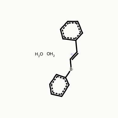 O.O.[B](/C=C/c1ccccc1)c1ccccc1